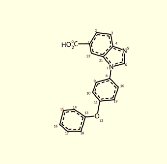 O=C(O)c1ccc2ncn(-c3ccc(Oc4ccccc4)cc3)c2c1